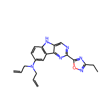 C=CCN(CC=C)c1ccc2[nH]c3cnc(-c4nc(CC)no4)nc3c2c1